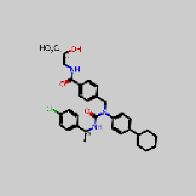 C[C@H](NC(=O)N(Cc1ccc(C(=O)NC[C@@H](O)C(=O)O)cc1)c1ccc(C2CCCCC2)cc1)c1ccc(Cl)cc1